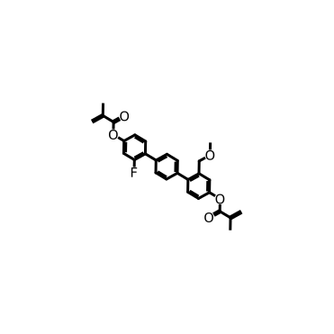 C=C(C)C(=O)Oc1ccc(-c2ccc(-c3ccc(OC(=O)C(=C)C)cc3COC)cc2)c(F)c1